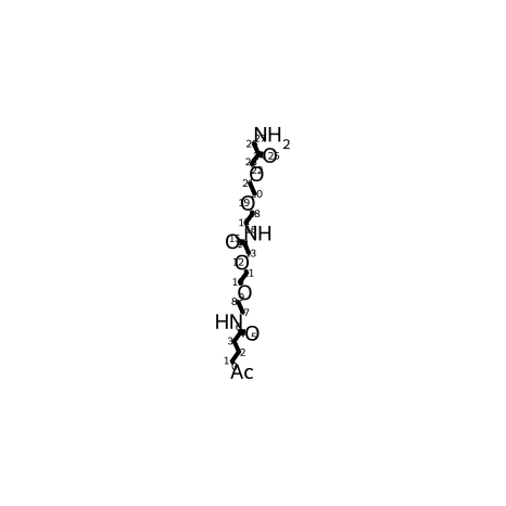 CC(=O)CCCC(=O)NCCOCCOCC(=O)NCCOCCOCC(=O)CN